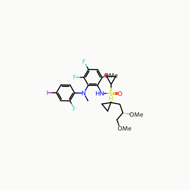 COC[C@H](CC1([SH](=O)(Nc2c(OC)cc(F)c(F)c2N(C)c2ccc(I)cc2F)C2CC2)CC1)OC